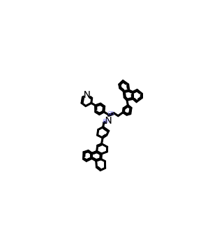 C1=Cc2c(c3c(c4ccccc24)C=C(C2=CC=C(/C=N/C(=C\Cc4cccc(-c5cc6ccccc6c6ccccc56)c4)c4ccc(C5C=NC=CC5)cc4)CC2)CC3)CC1